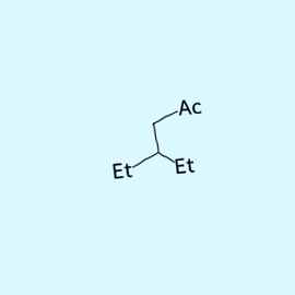 CCC(CC)CC(C)=O